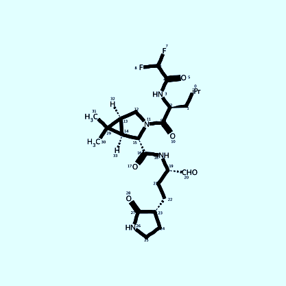 CC(C)C[C@H](NC(=O)C(F)F)C(=O)N1C[C@H]2[C@@H]([C@H]1C(=O)N[C@H](C=O)CC[C@@H]1CCNC1=O)C2(C)C